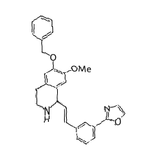 COc1cc2c(cc1OCc1ccccc1)CCNC2C=Cc1cccc(-c2ncco2)c1